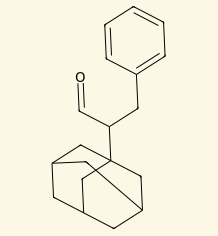 O=CC(Cc1ccccc1)C12CC3CC(CC(C3)C1)C2